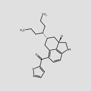 CCCN(CCC)[C@H]1Cc2c(C(=O)c3ccno3)ccc3c2[C@@H](CN3)C1